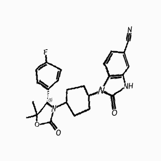 CC1(C)OC(=O)N(C2CCC(n3c(=O)[nH]c4cc(C#N)ccc43)CC2)[C@H]1c1ccc(F)cc1